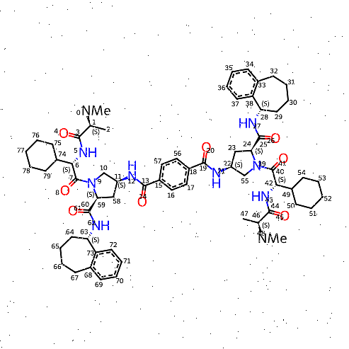 CN[C@@H](C)C(=O)N[C@H](C(=O)N1C[C@@H](NC(=O)c2ccc(C(=O)N[C@H]3C[C@@H](C(=O)N[C@H]4CCCCc5ccccc54)N(C(=O)[C@@H](NC(=O)[C@H](C)NC)C4CCCCC4)C3)cc2)C[C@H]1C(=O)N[C@H]1CCCCc2ccccc21)C1CCCCC1